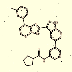 O=C(Nc1cncc(-c2cnc3[nH]nc(-c4nc5c(-c6cccc(F)c6)ccnc5[nH]4)c3c2)c1)C1CCCC1